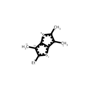 CCc1sc2c(C)c(C)sc2c1C